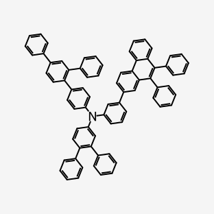 c1ccc(-c2ccc(-c3ccc(N(c4cccc(-c5ccc6c(c5)c(-c5ccccc5)c(-c5ccccc5)c5ccccc56)c4)c4ccc(-c5ccccc5)c(-c5ccccc5)c4)cc3)c(-c3ccccc3)c2)cc1